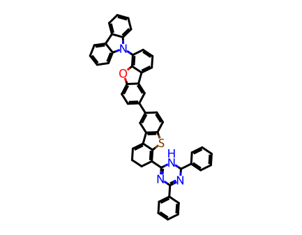 C1=c2c(sc3ccc(-c4ccc5oc6c(-n7c8ccccc8c8ccccc87)cccc6c5c4)cc23)=C(C2=NC(c3ccccc3)=NC(c3ccccc3)N2)CC1